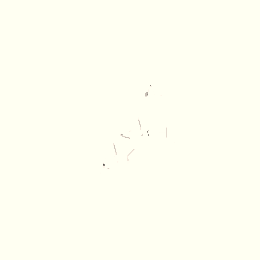 CC(=O)CCC=C(C)c1ccc(C)cc1